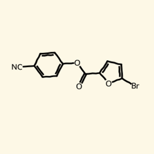 N#Cc1ccc(OC(=O)c2ccc(Br)o2)cc1